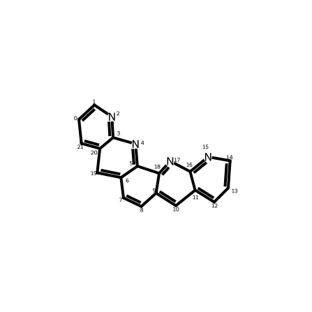 c1cnc2nc3c(ccc4cc5cccnc5nc43)cc2c1